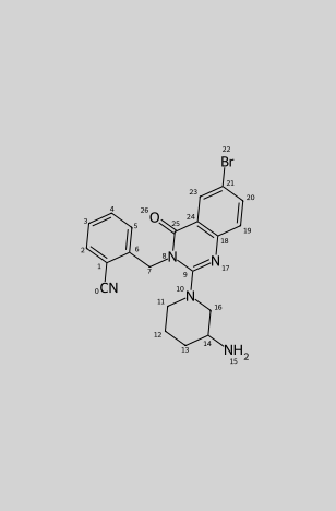 N#Cc1ccccc1Cn1c(N2CCCC(N)C2)nc2ccc(Br)cc2c1=O